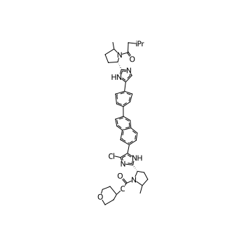 CC(C)CC(=O)N1C(C)CC[C@H]1c1ncc(-c2ccc(-c3ccc4cc(-c5[nH]c([C@@H]6CCC(C)N6C(=O)CC6CCOCC6)nc5Cl)ccc4c3)cc2)[nH]1